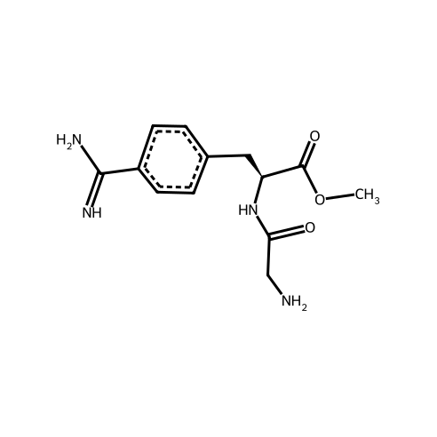 COC(=O)[C@H](Cc1ccc(C(=N)N)cc1)NC(=O)CN